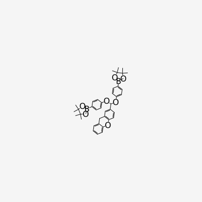 CC1(C)OB(c2ccc(OC(Oc3ccc(B4OC(C)(C)C(C)(C)O4)cc3)c3ccc4c(c3)Cc3ccccc3O4)cc2)OC1(C)C